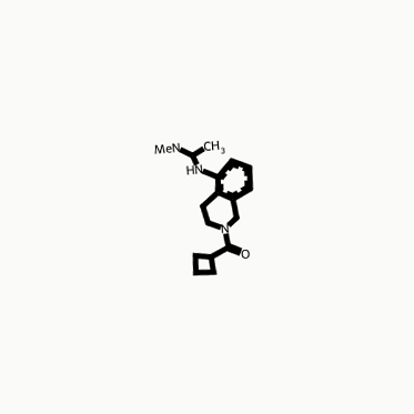 CNC(C)Nc1cccc2c1CCN(C(=O)C1CCC1)C2